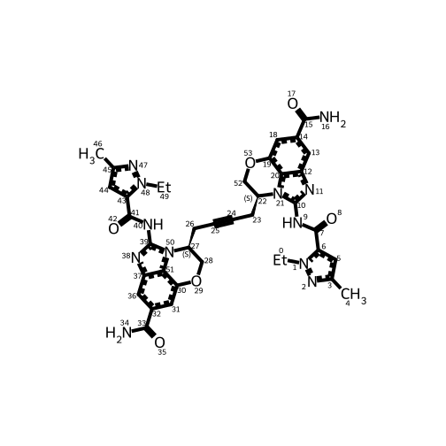 CCn1nc(C)cc1C(=O)Nc1nc2cc(C(N)=O)cc3c2n1[C@@H](CC#CC[C@H]1COc2cc(C(N)=O)cc4nc(NC(=O)c5cc(C)nn5CC)n1c24)CO3